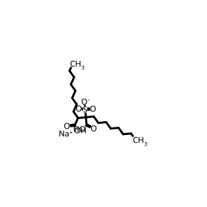 CCCCCCCCC(C(=O)O)C(CCCCCCCC)(C(=O)O)S(=O)(=O)[O-].[Na+]